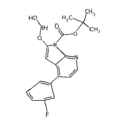 CC(C)(C)OC(=O)n1c(OBO)cc2c(-c3cccc(F)c3)ccnc21